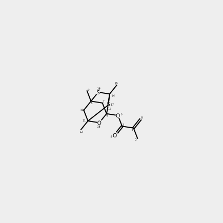 C=C(C)C(=O)OC12CC3(C)CC(C)(CC(C)(S3)S1)O2